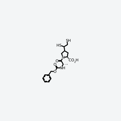 C[C@H](NC(=O)OCc1ccccc1)C(=O)N1CC(C(S)CS)C[C@H]1C(=O)O